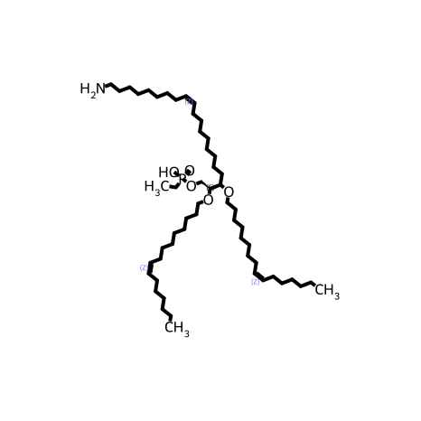 CCCCCC/C=C\CCCCCCCCOC(CCCCCCCC/C=C\CCCCCCCCN)[C@H](COP(=O)(O)CC)OCCCCCCCC/C=C\CCCCCC